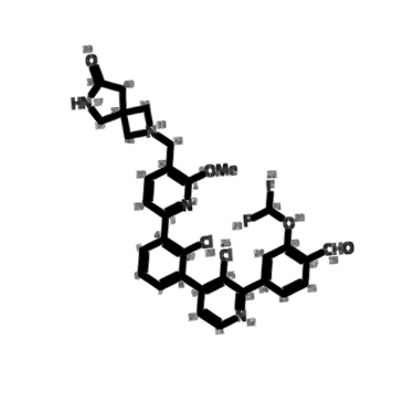 COc1nc(-c2cccc(-c3ccnc(-c4ccc(C=O)c(OC(F)F)c4)c3Cl)c2Cl)ccc1CN1CC2(CNC(=O)C2)C1